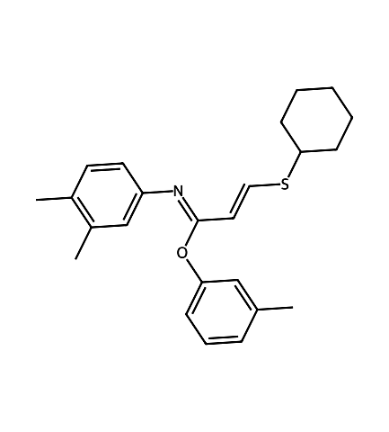 Cc1cccc(OC(/C=C/SC2CCCCC2)=N\c2ccc(C)c(C)c2)c1